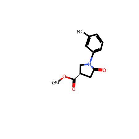 CC(C)(C)OC(=O)[C@H]1CC(=O)N(c2cccc(C#N)c2)C1